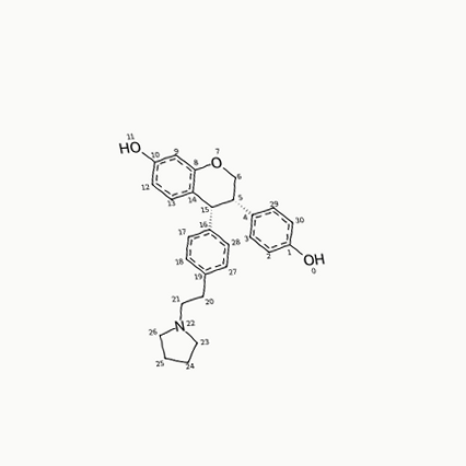 Oc1ccc([C@H]2COc3cc(O)ccc3[C@H]2c2ccc(CCN3CCCC3)cc2)cc1